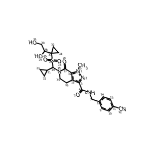 Cn1nc(C(=O)NCc2ccc(C#N)cc2)c2c1C(=O)N(C(C1CC1)S(=O)(=O)C1(C(O)CO)CC1)CC2